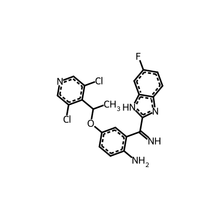 CC(Oc1ccc(N)c(C(=N)c2nc3ccc(F)cc3[nH]2)c1)c1c(Cl)cncc1Cl